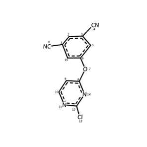 N#Cc1cc(C#N)cc(Oc2ccnc(Cl)n2)c1